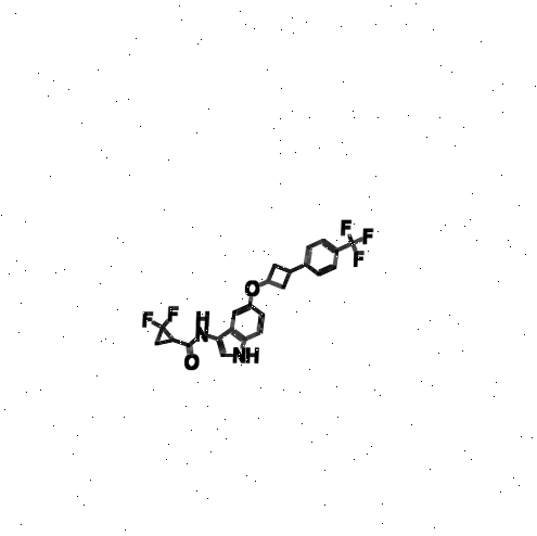 O=C(Nc1c[nH]c2ccc(OC3CC(c4ccc(C(F)(F)F)cc4)C3)cc12)C1CC1(F)F